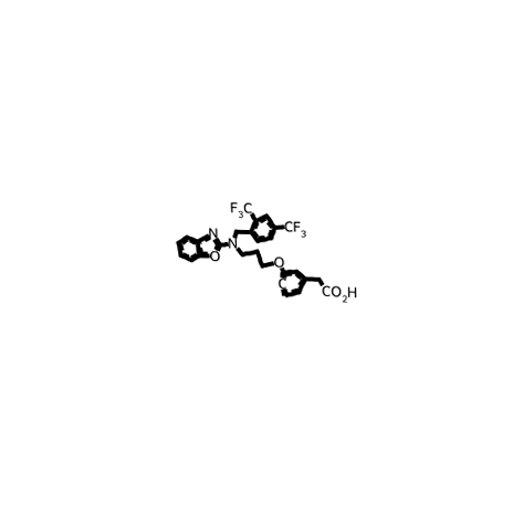 O=C(O)Cc1cccc(OCCCN(Cc2ccc(C(F)(F)F)cc2C(F)(F)F)c2nc3ccccc3o2)c1